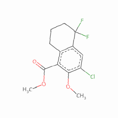 COC(=O)c1c2c(cc(Cl)c1OC)C(F)(F)CCC2